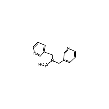 O=S(=O)(O)N(Cc1cccnc1)Cc1cccnc1